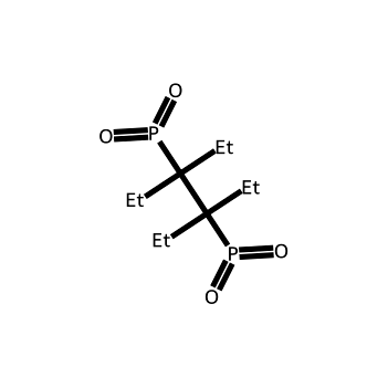 CCC(CC)(P(=O)=O)C(CC)(CC)P(=O)=O